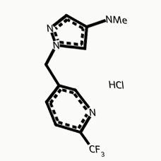 CNc1cnn(Cc2ccc(C(F)(F)F)nc2)c1.Cl